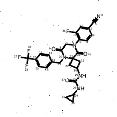 N#Cc1ccc(N2CC(=O)N(Cc3ccc(C(F)(F)F)cc3)C3(CC(NC(=O)NC4CC4)C3)C2=O)c(F)c1